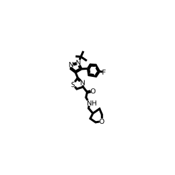 CC(C)(C)n1ncc(C2=NC(C(=O)CNCC3CCOCC3)CS2)c1-c1ccc(F)cc1